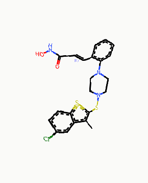 Cc1c(SN2CCN(c3ccccc3/C=C/C(=O)NO)CC2)sc2ccc(Cl)cc12